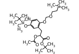 CC(=O)OC(Cc1cc(O[Si](C)(C)C(C)(C)C)ccc1OCOCC[Si](C)(C)C)C(=O)OC(C)(C)C